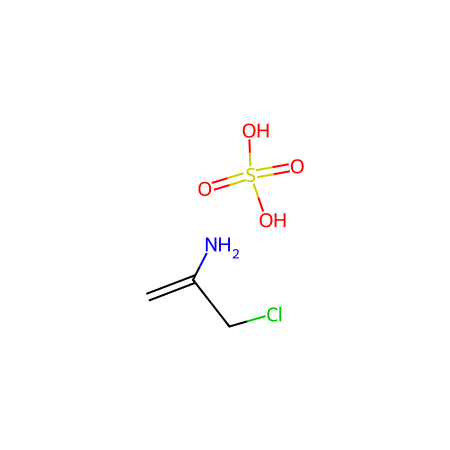 C=C(N)CCl.O=S(=O)(O)O